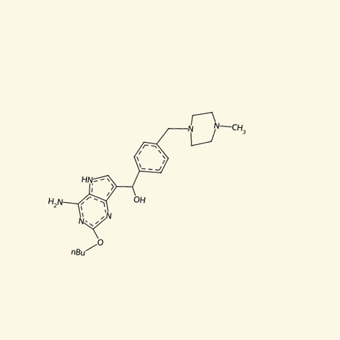 CCCCOc1nc(N)c2[nH]cc(C(O)c3ccc(CN4CCN(C)CC4)cc3)c2n1